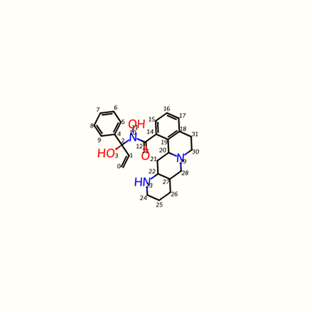 C=C[C@](O)(c1ccccc1)N(O)C(=O)c1cccc2c1C1CC3NCCCC3CN1CC2